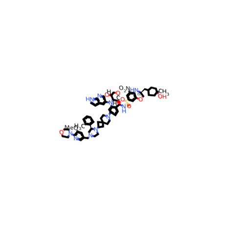 COc1cc(CN2CCN(C3CC4(CCN(c5ccc(C(=O)NS(=O)(=O)c6cc7c(c([N+](=O)[O-])c6)N[C@@H](CC6CCC(C)(O)CC6)CO7)c(N6c7cc8cc[nH]c8nc7O[C@H]7COCC[C@@H]76)c5)CC4)C3)[C@H](c3ccccc3C)C2)cnc1N1CCOCC1